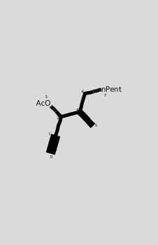 C#CC(OC(C)=O)C(=C)CCCCCC